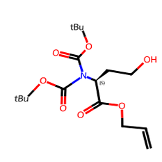 C=CCOC(=O)[C@H](CCO)N(C(=O)OC(C)(C)C)C(=O)OC(C)(C)C